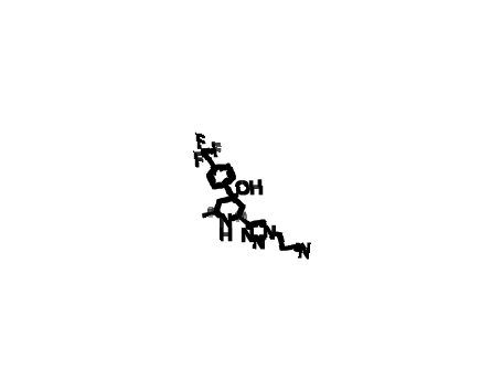 C[C@H]1CC(O)(c2ccc(C(F)(F)F)cc2)C[C@@H](c2cn(CCC#N)nn2)N1